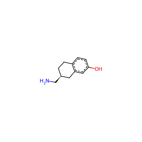 NC[C@H]1CCc2ccc(O)cc2C1